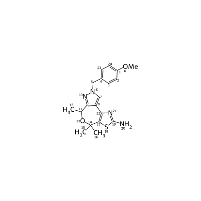 COc1ccc(Cn2cc3c(n2)C(C)OC(C)(C)c2sc(N)nc2-3)cc1